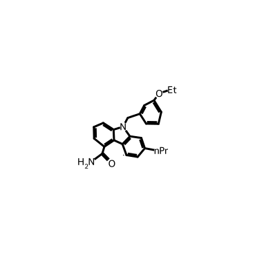 CCCc1c[c]c2c3c(C(N)=O)cccc3n(Cc3cccc(OCC)c3)c2c1